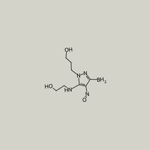 Bc1nn(CCCO)c(NCCO)c1N=O